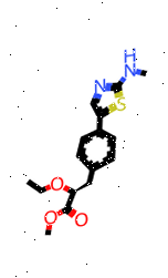 CCO[C@@H](Cc1ccc(-c2cnc(NC)s2)cc1)C(=O)OC